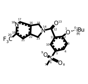 CC[C@@H](C)Oc1ccc(S(C)(=O)=O)cc1C(=O)N1Cc2cnc(C(F)(F)F)cc2C1